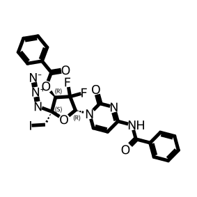 [N-]=[N+]=N[C@]1(CI)O[C@@H](n2ccc(NC(=O)c3ccccc3)nc2=O)C(F)(F)[C@@H]1OC(=O)c1ccccc1